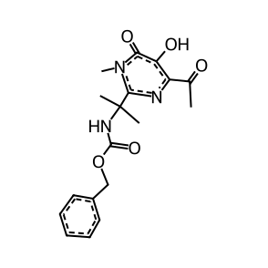 CC(=O)c1nc(C(C)(C)NC(=O)OCc2ccccc2)n(C)c(=O)c1O